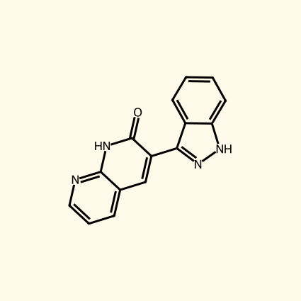 O=c1[nH]c2ncccc2cc1-c1n[nH]c2ccccc12